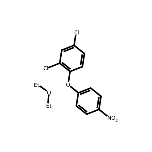 CCOCC.O=[N+]([O-])c1ccc(Oc2ccc(Cl)cc2Cl)cc1